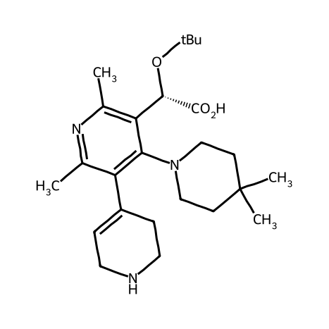 Cc1nc(C)c([C@H](OC(C)(C)C)C(=O)O)c(N2CCC(C)(C)CC2)c1C1=CCNCC1